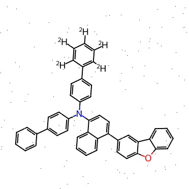 [2H]c1c([2H])c([2H])c(-c2ccc(N(c3ccc(-c4ccccc4)cc3)c3ccc(-c4ccc5oc6ccccc6c5c4)c4ccccc34)cc2)c([2H])c1[2H]